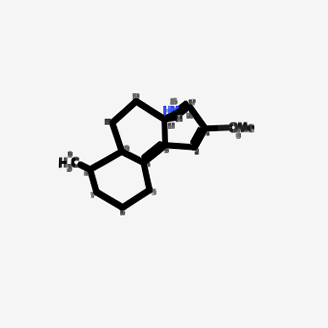 COC1=CC2=C3CCCC(C)C3CCC23CNC=C13